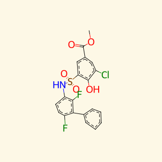 COC(=O)c1cc(Cl)c(O)c(S(=O)(=O)Nc2ccc(F)c(-c3ccccc3)c2F)c1